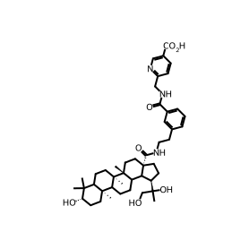 CC(O)(CO)[C@@H]1CC[C@]2(C(=O)NCCc3cccc(C(=O)NCc4ccc(C(=O)O)cn4)c3)CC[C@]3(C)C(CCC4[C@@]5(C)CC[C@H](O)C(C)(C)C5CC[C@]43C)C12